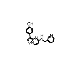 Oc1ccc(-c2cnn3ccc(NCc4cccnc4)nc23)cc1